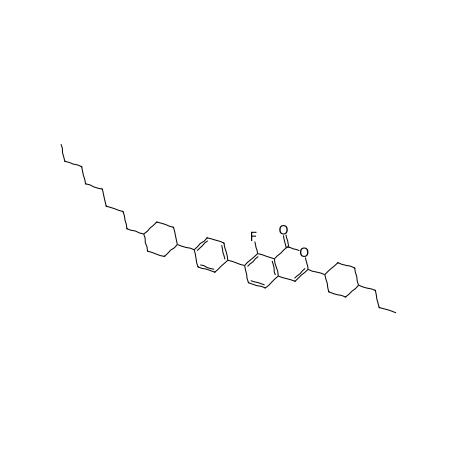 CCCCCCCCC1CCC(c2ccc(-c3ccc4cc(C5CCC(CCC)CC5)oc(=O)c4c3F)cc2)CC1